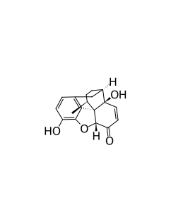 C[C@H]1CC[C@@H]2Cc3ccc(O)c4c3[C@]13[C@@H](O4)C(=O)C=C[C@@]23O